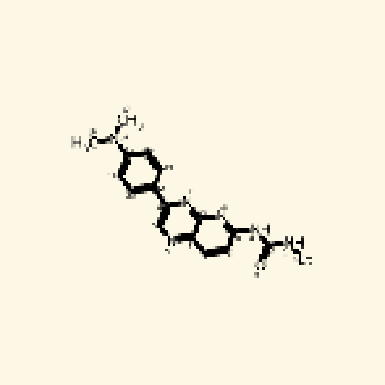 CCNC(=O)Nc1ccc2ncc(-c3ccc(N(C)C)cc3)nc2n1